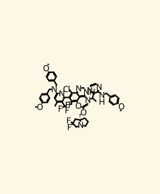 COc1ccc(CNc2nccnc2C(C)N2C=C(OC[C@]34CCCN3CC(F)(F)C4)Oc3c(F)c(-c4nc(N(Cc5ccc(OC)cc5)Cc5ccc(OC)cc5)cc(C)c4C(F)(F)F)c(Cl)c4c3=C2NCN=4)cc1